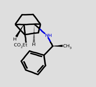 CCOC(=O)[C@@H]1C2CCC(CC2)[C@H]1N[C@@H](C)c1ccccc1